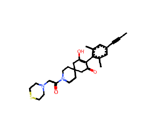 CC#Cc1cc(C)c(C2=C(O)CC3(CCN(C(=O)CN4CCSCC4)CC3)CC2=O)c(C)c1